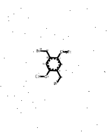 CCOc1cc(CBr)c(OCC)cc1CBr